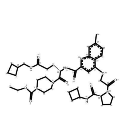 CCOC(=O)N1CCN(C(=O)[C@H](CCC(=O)OCC2CCC2)NC(=O)c2cc(OCC(=O)N3CCC[C@H]3C(=O)NC3CCC3)c3ccc(C)cc3n2)CC1